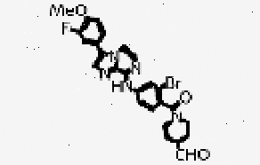 COc1ccc(-c2cnc3c(Nc4ccc(C(=O)N5CCC(C=O)CC5)c(Br)c4)nccn23)cc1F